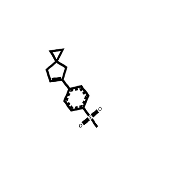 CS(=O)(=O)c1ccc(C2=CCC3(CC3)C2)cc1